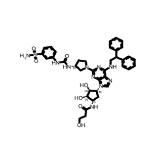 NS(=O)(=O)c1cccc(NC(=O)N[C@@H]2CCN(c3nc(NCC(c4ccccc4)c4ccccc4)c4ncn([C@@H]5C[C@H](NC(=O)CCO)[C@@H](O)[C@H]5O)c4n3)C2)c1